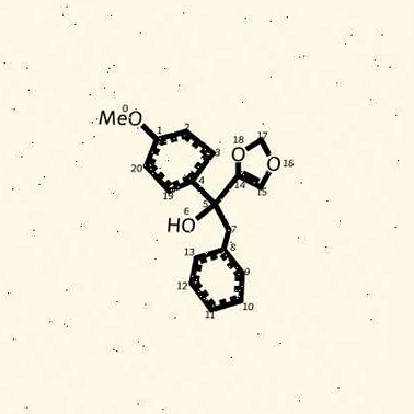 COc1ccc(C(O)(Cc2ccccc2)C2=COCO2)cc1